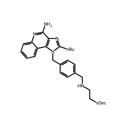 CCCCCCCCCCCCNCc1ccc(Cn2c(CCCC)nc3c(N)nc4ccccc4c32)cc1